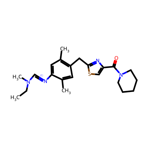 CCN(C)/C=N/c1cc(C)c(Cc2nc(C(=O)N3CCCCC3)cs2)cc1C